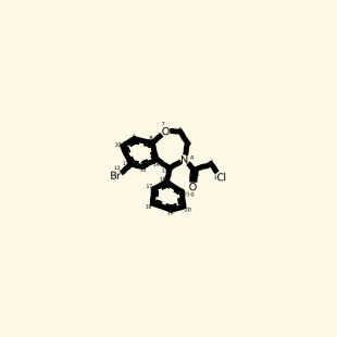 O=C(CCl)N1CCOc2ccc(Br)cc2C1c1ccccc1